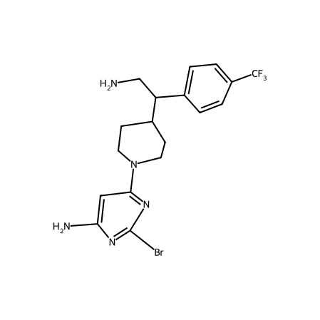 NCC(c1ccc(C(F)(F)F)cc1)C1CCN(c2cc(N)nc(Br)n2)CC1